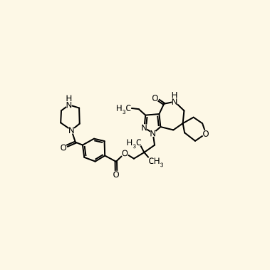 CCc1nn(CC(C)(C)COC(=O)c2ccc(C(=O)N3CCNCC3)cc2)c2c1C(=O)NCC1(CCOCC1)C2